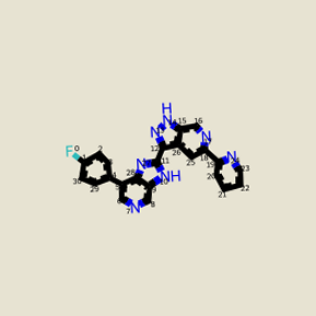 Fc1ccc(-c2cncc3[nH]c(-c4n[nH]c5cnc(-c6ccccn6)cc45)nc23)cc1